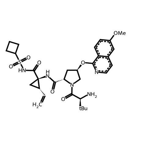 C=C[C@@H]1C[C@]1(NC(=O)[C@@H]1C[C@@H](Oc2nccc3cc(OC)ccc23)CN1C(=O)[C@@H](N)C(C)(C)C)C(=O)NS(=O)(=O)C1CCC1